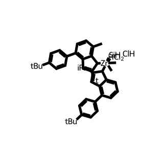 CCC1=Cc2c(-c3ccc(C(C)(C)C)cc3)ccc(C)c2[CH]1[Zr]([CH3])([CH3])(=[SiH2])[CH]1C(C(C)C)=Cc2c(-c3ccc(C(C)(C)C)cc3)cccc21.Cl.Cl